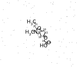 CCCC(=O)N(C)Cc1cccc(OCC(=O)O)c1